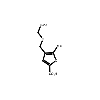 COCOCc1cc(C(=O)O)oc1C(C)(C)C